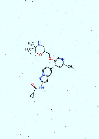 Cc1cc(-c2ccn3nc(NC(=O)C4CC4)cc3c2)c(OC[C@@H]2CNC(C)(C)CO2)cn1